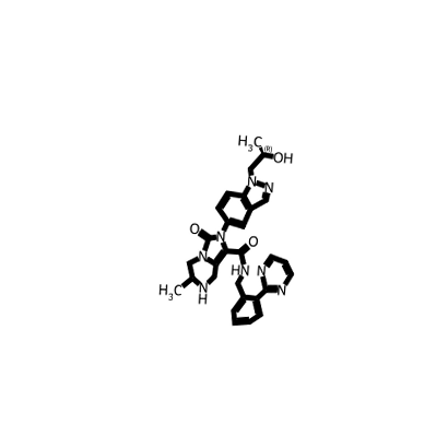 CC1Cn2c(c(C(=O)NCc3ccccc3-c3ncccn3)n(-c3ccc4c(cnn4C[C@@H](C)O)c3)c2=O)CN1